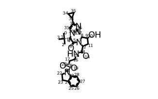 CC(C)(C)[C@@H](C(=O)N1CC(O)CC1C(=O)NCCS(=O)(=O)N1CCc2ccccc21)n1cc(C2CC2)nn1